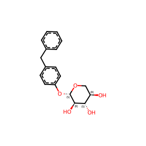 O[C@@H]1[C@@H](O)[C@H](Oc2ccc(Cc3ccccc3)cc2)OC[C@H]1O